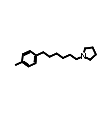 Cc1ccc(CCCCCCN2CCCC2)cc1